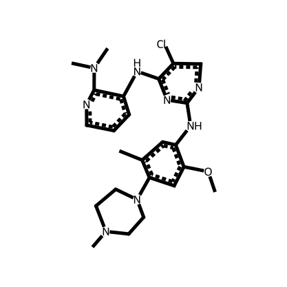 COc1cc(N2CCN(C)CC2)c(C)cc1Nc1ncc(Cl)c(Nc2cccnc2N(C)C)n1